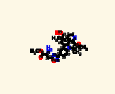 CCn1c(-c2cccnc2[C@H](C)OC)c(CC(C)(C)CO)c2cc(-c3noc(C[C@H](N)C(=O)OC)n3)ccc21